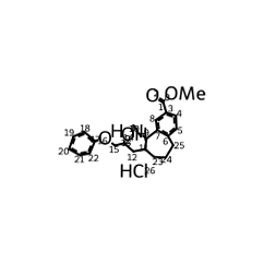 COC(=O)c1ccc2c(c1)C(N)C(C[C@H](O)COc1ccccc1)CCC2.Cl